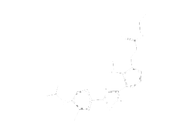 CCOC(=O)CCc1cccc(-c2noc(-c3ccc(OC(C)C)c(C)c3)n2)c1OC